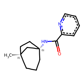 C[C@]12CCC[C@](NC(=O)c3ccccn3)(CC1)C2